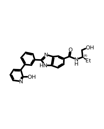 CC[C@H](CO)NC(=O)c1ccc2[nH]c(-c3cccc(-c4cccnc4O)c3)nc2c1